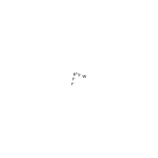 [B+3].[F-].[F-].[F-].[W]